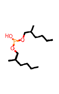 CCCCC(C)COP(O)OCC(C)CCCC